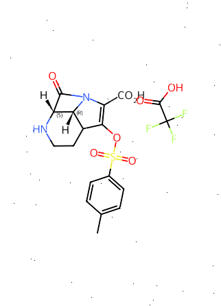 Cc1ccc(S(=O)(=O)OC2=C(C(=O)O)N3C(=O)[C@H]4NCCC2[C@H]43)cc1.O=C(O)C(F)(F)F